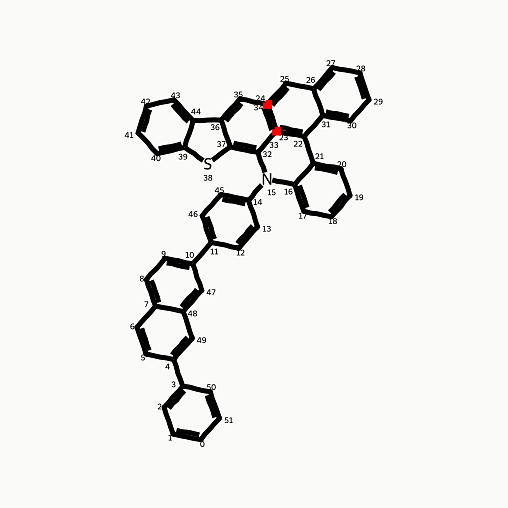 c1ccc(-c2ccc3ccc(-c4ccc(N(c5ccccc5-c5cccc6ccccc56)c5cccc6c5sc5ccccc56)cc4)cc3c2)cc1